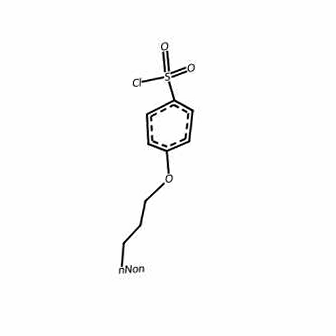 CCCCCCCCCCCCOc1ccc(S(=O)(=O)Cl)cc1